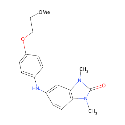 COCCOc1ccc(Nc2ccc3c(c2)n(C)c(=O)n3C)cc1